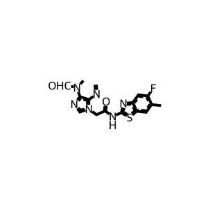 C=Nc1c(N(C)C=O)ncn1CC(=O)Nc1nc2cc(F)c(C)cc2s1